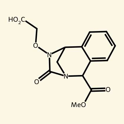 COC(=O)C1c2ccccc2C2CN1C(=O)N2OCC(=O)O